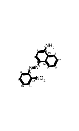 Nc1ccc(N=Nc2ccccc2[N+](=O)[O-])c2ccccc12